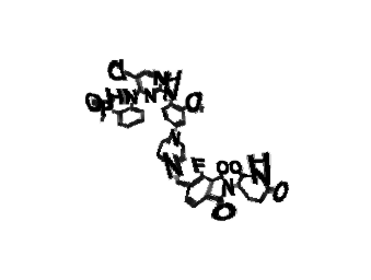 COc1cc(N2CCN(Cc3ccc4c(c3F)C(=O)N(C3CCC(=O)NC3=O)C4=O)CC2)ccc1Nc1ncc(Cl)c(Nc2ccccc2P(C)(C)=O)n1